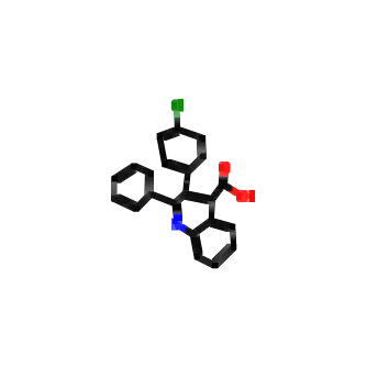 O=C(O)c1c(-c2ccc(Cl)cc2)c(-c2ccccc2)nc2ccccc12